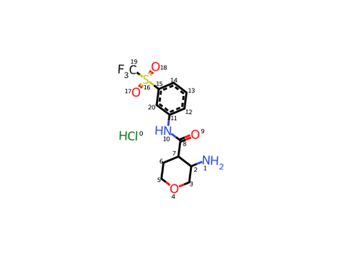 Cl.NC1COCCC1C(=O)Nc1cccc(S(=O)(=O)C(F)(F)F)c1